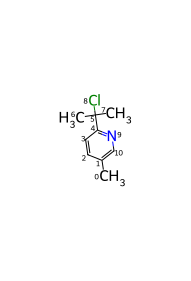 Cc1ccc(C(C)(C)Cl)nc1